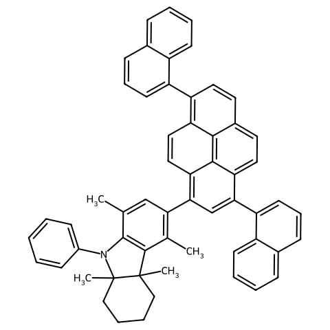 Cc1cc(-c2cc(-c3cccc4ccccc34)c3ccc4ccc(-c5cccc6ccccc56)c5ccc2c3c45)c(C)c2c1N(c1ccccc1)C1(C)CCCCC21C